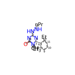 CCCNNc1nc(-c2c(CC)cccc2CC)n(C)c(=O)n1